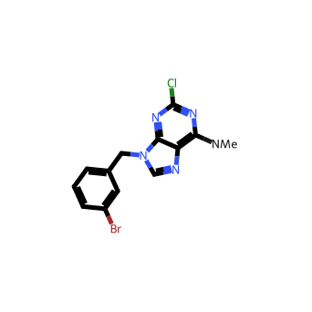 CNc1nc(Cl)nc2c1ncn2Cc1cccc(Br)c1